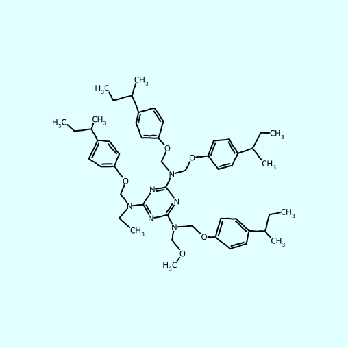 CCC(C)c1ccc(OCN(CC)c2nc(N(COC)COc3ccc(C(C)CC)cc3)nc(N(COc3ccc(C(C)CC)cc3)COc3ccc(C(C)CC)cc3)n2)cc1